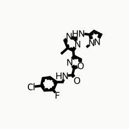 Cc1cnc(Nc2ccnn2C)nc1-c1coc(C(=O)NCc2ccc(Cl)cc2F)n1